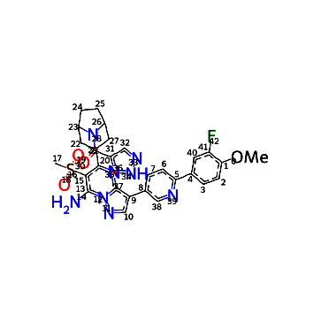 COc1ccc(-c2ccc(-c3cnn4c(N)c(S(C)(=O)=O)c(C5CC6CCC(C5)N6C(=O)c5cn[nH]n5)nc34)cn2)cc1F